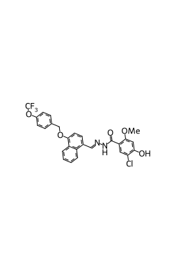 COc1cc(O)c(Cl)cc1C(=O)N/N=C/c1ccc(OCc2ccc(OC(F)(F)F)cc2)c2ccccc12